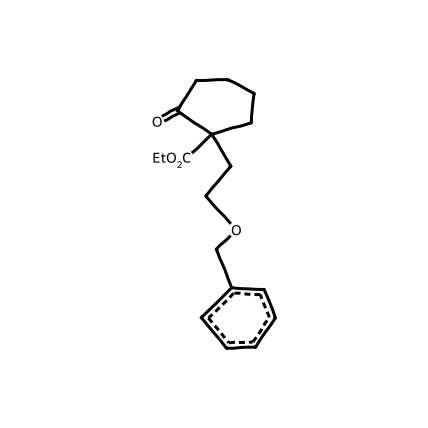 CCOC(=O)C1(CCOCc2ccccc2)CCCCC1=O